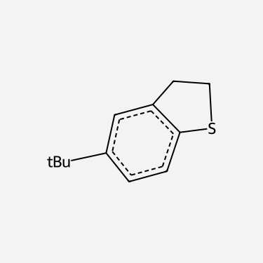 CC(C)(C)c1ccc2c(c1)CCS2